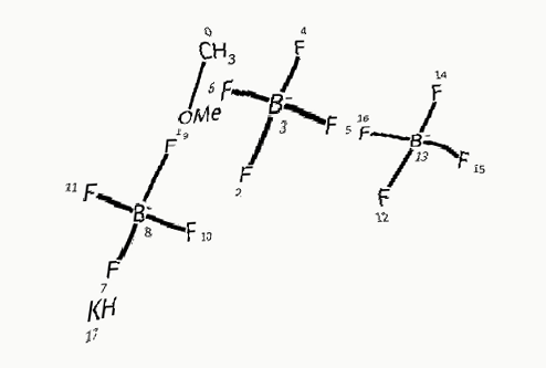 COC.F[B-](F)(F)F.F[B-](F)(F)F.F[B-](F)(F)F.[KH]